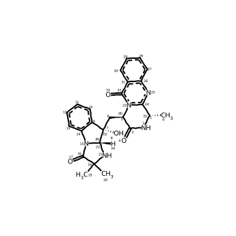 C[C@@H]1NC(=O)[C@@H](C[C@]2(O)c3ccccc3N3C(=O)C(C)(C)N[C@H]32)n2c1nc1ccccc1c2=O